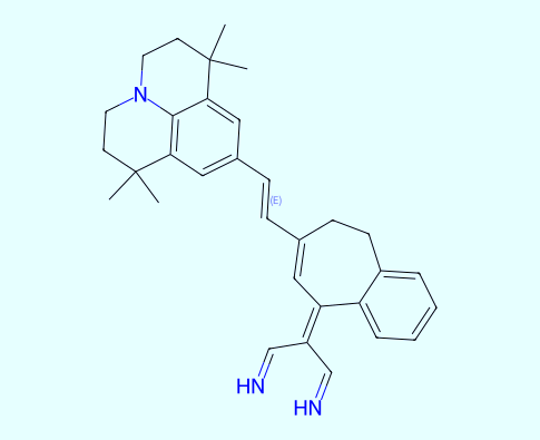 CC1(C)CCN2CCC(C)(C)c3cc(/C=C/C4=CC(=C(C=N)C=N)c5ccccc5CC4)cc1c32